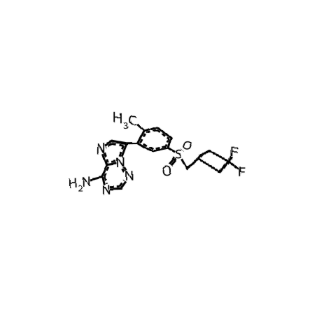 Cc1ccc(S(=O)(=O)CC2CC(F)(F)C2)cc1-c1cnc2c(N)ncnn12